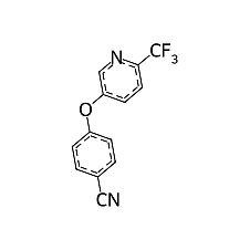 N#Cc1ccc(Oc2ccc(C(F)(F)F)nc2)cc1